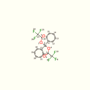 O=C(O[Si](OC(=O)C(F)(F)F)(c1ccccc1)c1ccccc1)C(F)(F)F